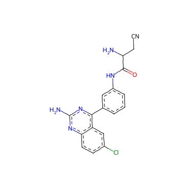 N#CCC(N)C(=O)Nc1cccc(-c2nc(N)nc3ccc(Cl)cc23)c1